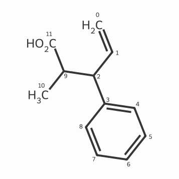 C=CC(c1ccccc1)C(C)C(=O)O